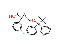 CC(O)[C@@]1(c2cccc(F)c2)C[C@H]1CO[Si](c1ccccc1)(c1ccccc1)C(C)(C)C